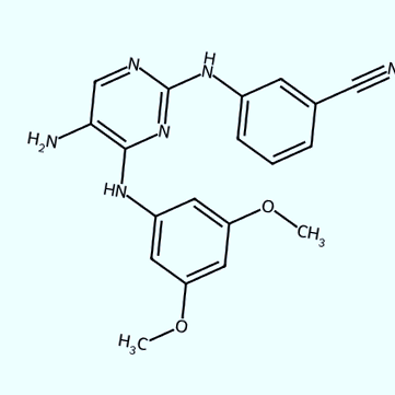 COc1cc(Nc2nc(Nc3cccc(C#N)c3)ncc2N)cc(OC)c1